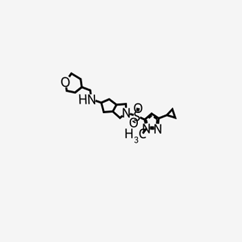 Cn1nc(C2CC2)cc1S(=O)(=O)N1CC2CC(NCC3CCOCC3)CC2C1